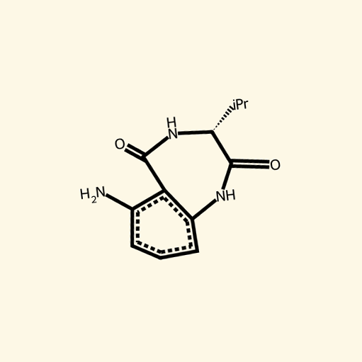 CC(C)[C@H]1NC(=O)c2c(N)cccc2NC1=O